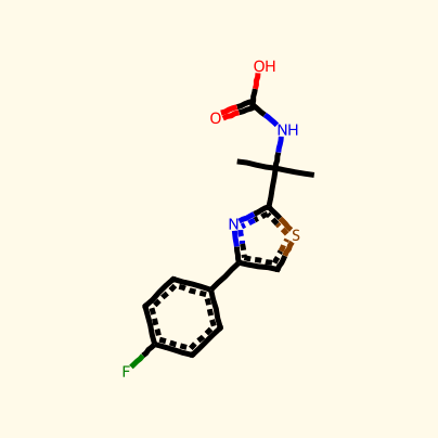 CC(C)(NC(=O)O)c1nc(-c2ccc(F)cc2)cs1